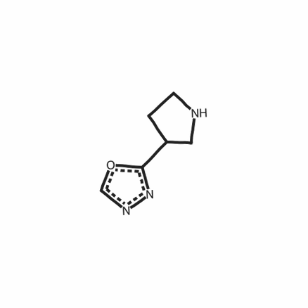 c1nnc(C2CCNC2)o1